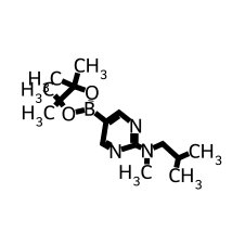 CC(C)CN(C)c1ncc(B2OC(C)(C)C(C)(C)O2)cn1